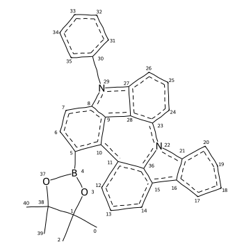 CC1(C)OB(c2ccc3c4c2c2cccc5c6ccccc6n(c6cccc(c46)n3-c3ccccc3)c52)OC1(C)C